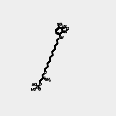 N[C@H](COCCCCCCCCCCCNc1ccc([N+](=O)[O-])c2nonc12)COP(=O)(O)O